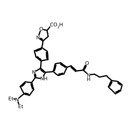 CCN(CC)c1ccc(-c2nc(-c3ccc(C4=NOC(C(=O)O)C4)cc3)c(-c3ccc(C=CC(=O)NCCCc4ccccc4)cc3)[nH]2)cc1